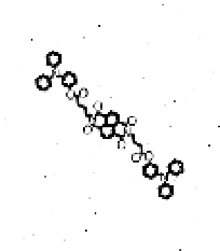 O=C(CCCN1C(=O)c2ccc3c4c(ccc(c24)C1=O)C(=O)N(CCCC(=O)Oc1cccc(N(c2ccccc2)c2ccccc2)c1)C3=O)Oc1cccc(N(c2ccccc2)c2ccccc2)c1